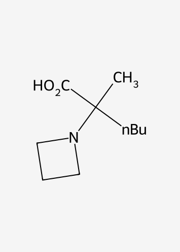 CCCCC(C)(C(=O)O)N1CCC1